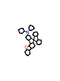 c1ccc(N(c2ccccc2)c2ccc3c(c2)C2(c4ccccc4-c4ccccc42)c2ccc4c(oc5ccccc54)c2-3)cc1